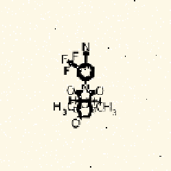 C[C@@]12CC(=O)[C@@](C)(O1)[C@@H]1C(=O)N(c3ccc(C#N)c(C(F)(F)F)c3)C(=O)[C@H]12